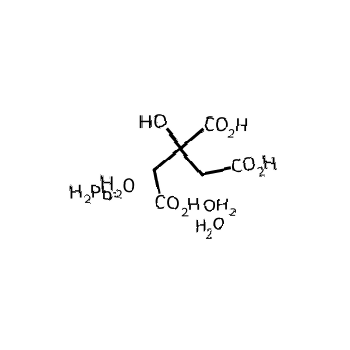 O.O.O.O=C(O)CC(O)(CC(=O)O)C(=O)O.[PbH2]